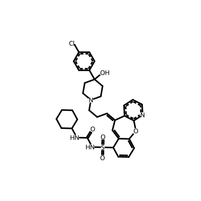 O=C(NC1CCCCC1)NS(=O)(=O)C1C=CC=C2Oc3ncccc3C(=CCCN3CCC(O)(c4ccc(Cl)cc4)CC3)C=C21